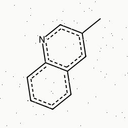 Cc1cnc2c[c]ccc2c1